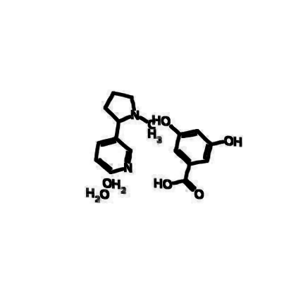 CN1CCCC1c1cccnc1.O.O.O=C(O)c1cc(O)cc(O)c1